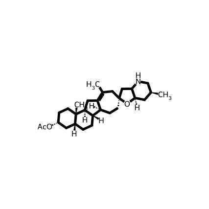 CC(=O)O[C@@H]1CC[C@@]2(C)[C@H](CC[C@H]3[C@@H]4CC[C@]5(CC(C)=C4C[C@@H]32)CC2NC[C@@H](C)C[C@H]2O5)C1